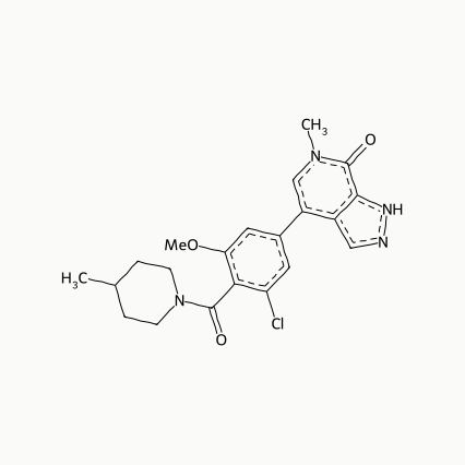 COc1cc(-c2cn(C)c(=O)c3[nH]ncc23)cc(Cl)c1C(=O)N1CCC(C)CC1